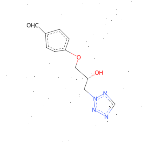 O=Cc1ccc(OC[C@H](O)Cn2ncnn2)cc1